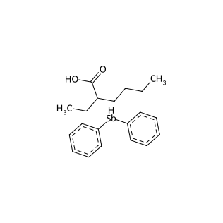 CCCCC(CC)C(=O)O.c1cc[c]([SbH][c]2ccccc2)cc1